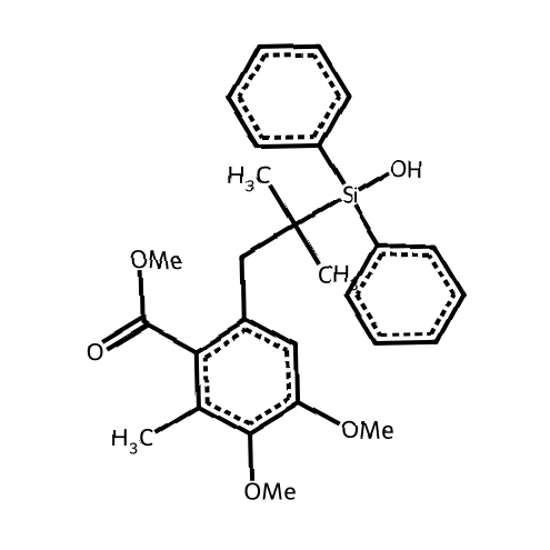 COC(=O)c1c(CC(C)(C)[Si](O)(c2ccccc2)c2ccccc2)cc(OC)c(OC)c1C